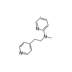 CN(CCc1ccncc1)c1cc[c]cn1